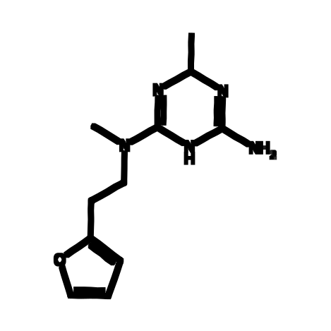 CC1N=C(N)NC(N(C)CCc2ccco2)=N1